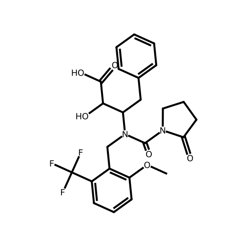 COc1cccc(C(F)(F)F)c1CN(C(=O)N1CCCC1=O)C(Cc1ccccc1)C(O)C(=O)O